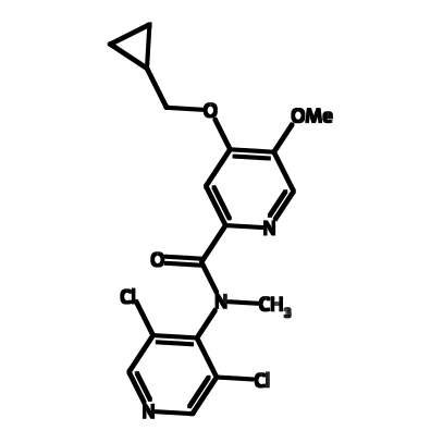 COc1cnc(C(=O)N(C)c2c(Cl)cncc2Cl)cc1OCC1CC1